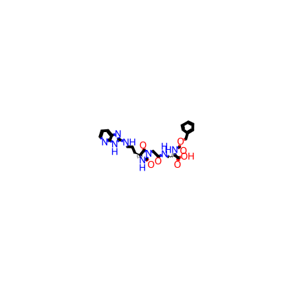 O=C(CN1C(=O)N[C@@H](CCCNc2nc3cccnc3[nH]2)C1=O)NC[C@H](NC(=O)OCc1ccccc1)C(=O)O